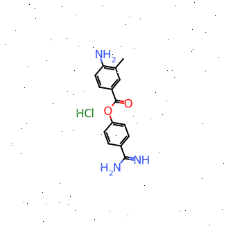 Cc1cc(C(=O)Oc2ccc(C(=N)N)cc2)ccc1N.Cl